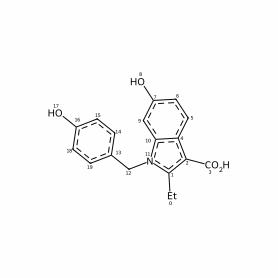 CCc1c(C(=O)O)c2ccc(O)cc2n1Cc1ccc(O)cc1